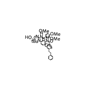 COc1cc(C(=O)NC(=NC(=O)O)N(c2ccc(C)c(NC(=O)c3ccc(CCc4ccccc4)cc3)c2)C(C)(C)C)cc(OC)c1OC